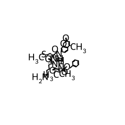 CSCC[C@H](NC(=O)[C@H](CCCCN)NC(=O)[C@@H](NC(=O)OCc1ccccc1)C(C)C)C(=O)Nc1ccc2c(C)cc(=O)oc2c1